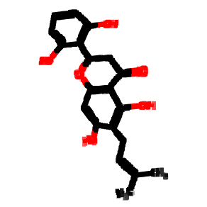 CC(C)=CCc1c(O)cc2c(c1O)C(=O)CC(c1c(O)cccc1O)O2